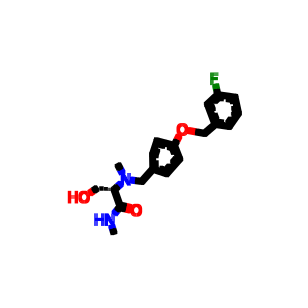 CNC(=O)[C@H](CO)N(C)Cc1ccc(OCc2cccc(F)c2)cc1